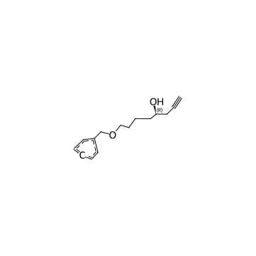 C#CC[C@H](O)CCCCOCc1ccccc1